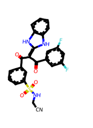 N#CCNS(=O)(=O)c1cccc(C(=O)C(C(=O)c2cc(F)cc(F)c2)=C2Nc3ccccc3N2)c1